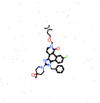 C[Si](C)(C)CCOCn1ccc2c3nc(N4CCC5(CC4)CO5)n(Cc4ccccc4)c3c3ccc(F)cc3c2c1=O